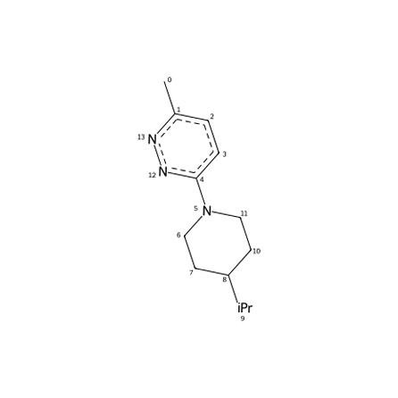 Cc1ccc(N2CCC(C(C)C)CC2)nn1